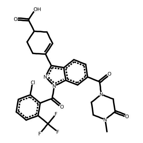 CN1CCN(C(=O)c2ccc3c(C4=CCC(C(=O)O)CC4)nn(C(=O)c4c(Cl)cccc4C(F)(F)F)c3c2)CC1=O